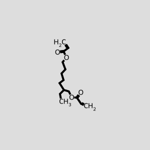 C=CC(=O)OCCCCCC(CC)COC(=O)C=C